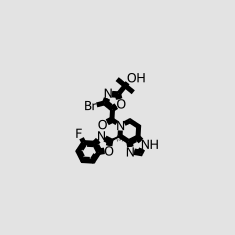 CC(C)(O)c1nc(Br)c(C(=O)N2CCc3[nH]cnc3[C@H]2c2nc3c(F)cccc3o2)o1